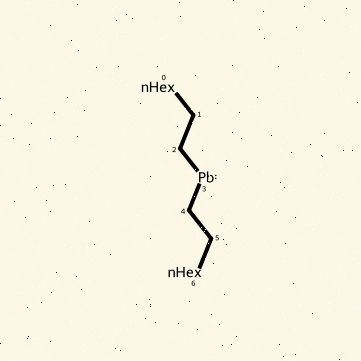 CCCCCCC[CH2][Pb][CH2]CCCCCCC